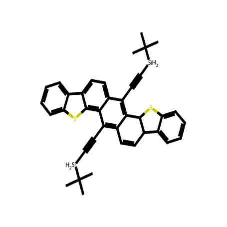 CC(C)(C)[SiH2]C#Cc1c2c(c(C#C[SiH2]C(C)(C)C)c3c1ccc1c4ccccc4sc13)C=CC1c3ccccc3SC21